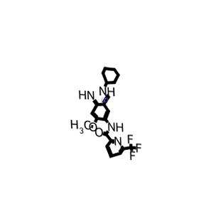 COC1=CC(=N)/C(=C\NC2CCCCC2)C=C1NC(=O)c1cccc(C(F)(F)F)n1